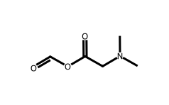 CN(C)CC(=O)OC=O